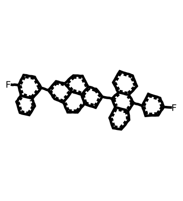 Fc1ccc(-c2c3ccccc3c(-c3cc4ccc5cc(-c6ccc(F)c7ccccc67)cc6ccc(c3)c4c56)c3ccccc23)cc1